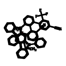 C=CCc1ccccc1N(C)c1cccc(C#N)c1-c1c(-c2ccc(C#N)cc2C(F)(F)F)cccc1-n1c2ccccc2c2cc3c4ccccc4n(-c4ccccc4)c3cc21